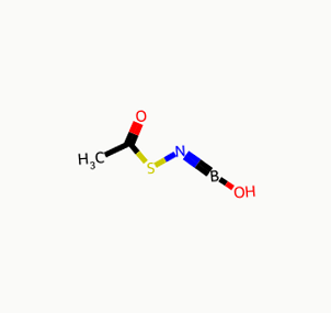 CC(=O)S/N=B/O